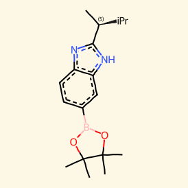 CC(C)[C@H](C)c1nc2ccc(B3OC(C)(C)C(C)(C)O3)cc2[nH]1